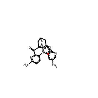 Cc1ccc(OC2CC3CCC2N(C(=O)c2nc(C)ccc2-n2nccn2)C3)nc1